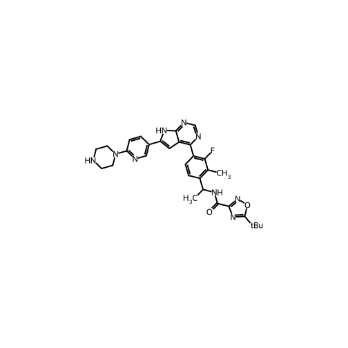 Cc1c(C(C)NC(=O)c2noc(C(C)(C)C)n2)ccc(-c2ncnc3[nH]c(-c4ccc(N5CCNCC5)nc4)cc23)c1F